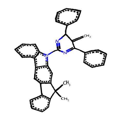 C=C1C(c2ccccc2)=NC(n2c3ccccc3c3cc4c(cc32)C(C)(C)c2ccccc2-4)=NC1c1ccccc1